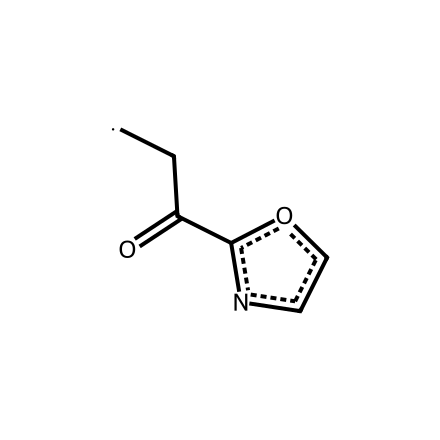 [CH2]CC(=O)c1ncco1